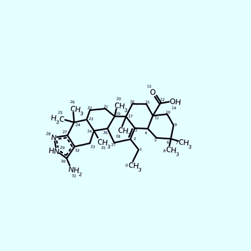 CCC1=C2C3CC(C)(C)CCC3(C(=O)O)CCC2(C)C2(C)CCC3C(C)(C)c4n[nH]c(N)c4CC3(C)C2C1